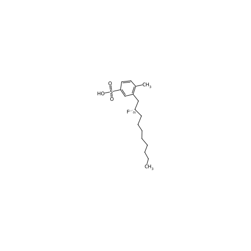 CCCCCCCC[C@H](F)Cc1cc(S(=O)(=O)O)ccc1C